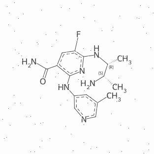 Cc1cncc(Nc2nc(N[C@H](C)[C@H](C)N)c(F)cc2C(N)=O)c1